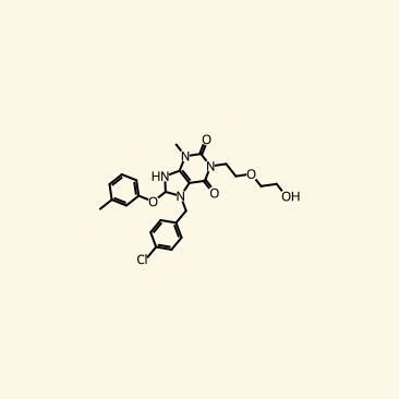 Cc1cccc(OC2Nc3c(c(=O)n(CCOCCO)c(=O)n3C)N2Cc2ccc(Cl)cc2)c1